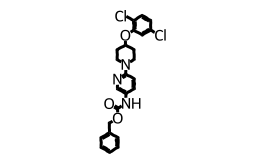 O=C(Nc1ccc(N2CCC(Oc3cc(Cl)ccc3Cl)CC2)nc1)OCc1ccccc1